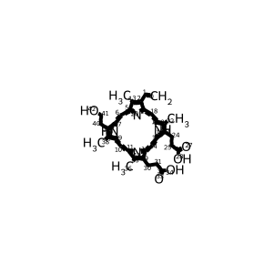 C=CC1=C(C)c2cc3[nH]c(cc4nc(cc5[nH]c(cc1n2)c(C)c5CCC(=O)O)C(CCC(=O)O)=C4C)c(C)c3CCO